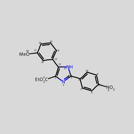 CCOC(=O)c1nc(-c2ccc([N+](=O)[O-])cc2)[nH]c1-c1cccc(OC)c1